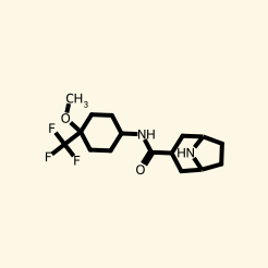 COC1(C(F)(F)F)CCC(NC(=O)C2CC3CCC(C2)N3)CC1